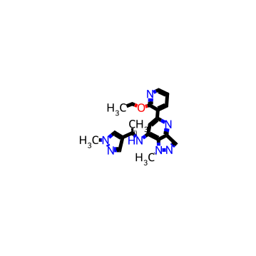 CCOc1ncccc1-c1cc(N[C@H](C)c2cnn(C)c2)c2c(cnn2C)n1